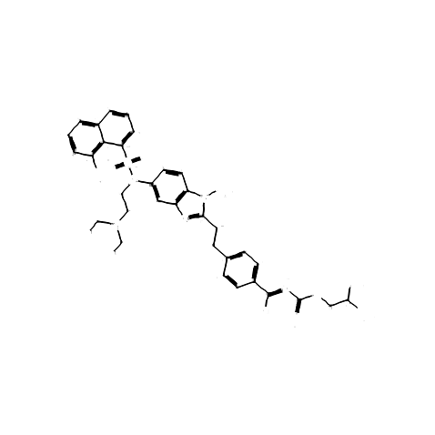 CCN(CC)CCN(c1ccc2c(c1)nc(CCc1ccc(C(N)=NC(=O)OCC(C)C)cc1)n2C)S(=O)(=O)c1cccc2cccc(Cl)c12